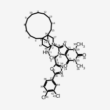 CNCN1C23CCCCCCCCCCCC12CN(c1nc2c(c(=O)n(C)c(=O)n2C)n1Cc1nnc(-c2ccc(Cl)c(Cl)c2)o1)CC3